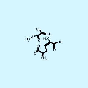 C=C(C)C(=O)OC.C=C(CC=C(C)C(=O)O)C(=O)O